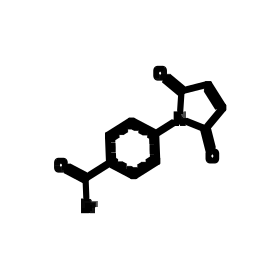 O=C(Br)c1ccc(N2C(=O)C=CC2=O)cc1